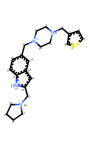 c1cc(CN2CCN(Cc3ccc4[nH]c(CN5CCCC5)cc4c3)CC2)cs1